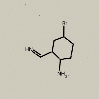 N=CC1CC(Br)CCC1N